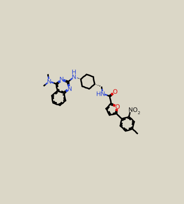 Cc1ccc(-c2ccc(C(=O)NC[C@H]3CC[C@@H](Nc4nc(N(C)C)c5ccccc5n4)CC3)o2)c([N+](=O)[O-])c1